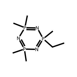 CCP1(C)=NP(C)(C)=NP(C)(C)=N1